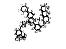 O=C(Nc1ccc(N2CCCCC2)cc1C(=O)N/N=C/c1ccc(Cl)c(C(F)(F)F)c1)c1cccc(CN2CCc3nc4ncccc4cc3C2)c1